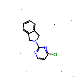 Clc1ccnc(N2Cc3ccccc3C2)n1